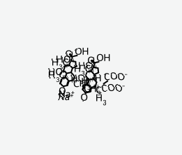 C[C@H]1CC2C(C(O)C[C@@]3(C)C2CC[C@]3(O)C(=O)CO)[C@@]2(C)C=CC(=O)C=C12.C[C@H]1C[C@@H]2C3CC[C@](O)(C(=O)CO)[C@@]3(C)CC(O)[C@H]2[C@@]2(C)C=CC(=O)C=C12.O=C([O-])CCC(=O)[O-].[Na+].[Na+]